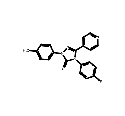 Cc1ccc(-n2nc(-c3ccncc3)n(-c3ccc(F)cc3)c2=O)cc1